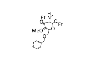 CCOC1OC(COCc2ccccc2)[C@@H](OC)[C@H](OCC)C1N